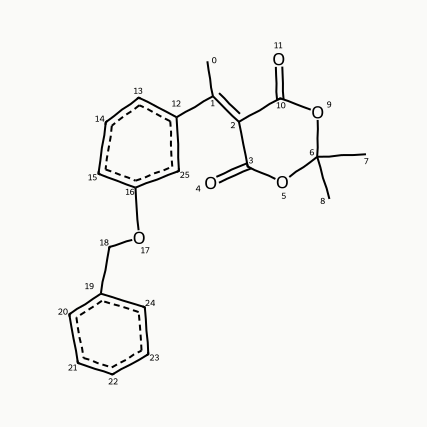 CC(=C1C(=O)OC(C)(C)OC1=O)c1cccc(OCc2ccccc2)c1